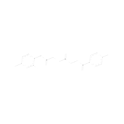 O=C(COC(=O)CNC(=O)c1ccc(Cl)cc1)Nc1ncc(Cl)cc1Cl